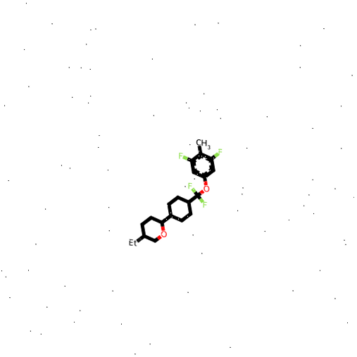 CCC1CCC(C2CCC(C(F)(F)Oc3cc(F)c(C)c(F)c3)CC2)OC1